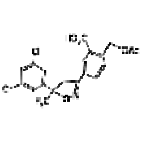 CC(=O)OCc1ccc(C2=NOC(c3cc(Cl)cc(Cl)c3)(C(F)(F)F)C2)cc1C(=O)O